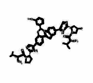 CC(C)[C@H](N)C(=O)N1CCC[C@H]1c1ncc(-c2ccc3c(c2)OC(c2cccc(O)c2)n2c-3cc3cc(-c4cnc([C@@H]5CC(F)CN5C(=O)[C@@H](N)C(C)C)[nH]4)ccc32)[nH]1